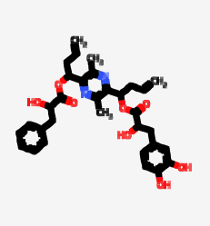 C=CCC(OC(=O)C(O)Cc1ccccc1)c1nc(C)c(C(CC=C)OC(=O)C(O)Cc2ccc(O)c(O)c2)nc1C